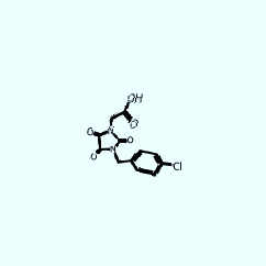 O=C(O)CN1C(=O)C(=O)N(Cc2ccc(Cl)cc2)C1=O